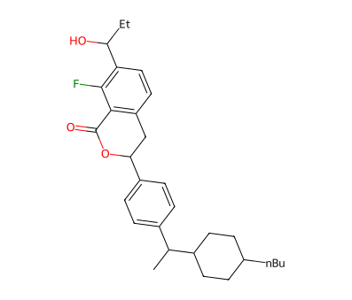 CCCCC1CCC(C(C)c2ccc(C3Cc4ccc(C(O)CC)c(F)c4C(=O)O3)cc2)CC1